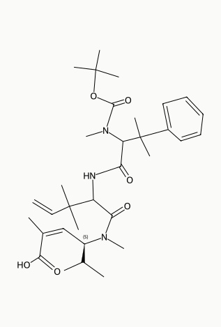 C=CC(C)(C)C(NC(=O)C(N(C)C(=O)OC(C)(C)C)C(C)(C)c1ccccc1)C(=O)N(C)[C@H](C=C(C)C(=O)O)C(C)C